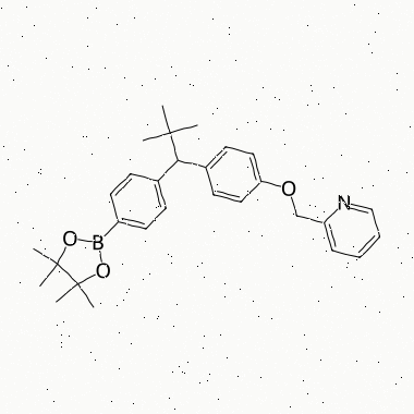 CC(C)(C)C(c1ccc(OCc2ccccn2)cc1)c1ccc(B2OC(C)(C)C(C)(C)O2)cc1